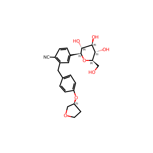 N#Cc1ccc([C@@H]2O[C@H](CO)[C@@H](O)[C@H](O)[C@H]2O)cc1Cc1ccc(O[C@H]2CCOC2)cc1